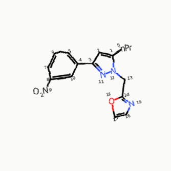 CCCc1cc(-c2cccc([N+](=O)[O-])c2)nn1Cc1ncco1